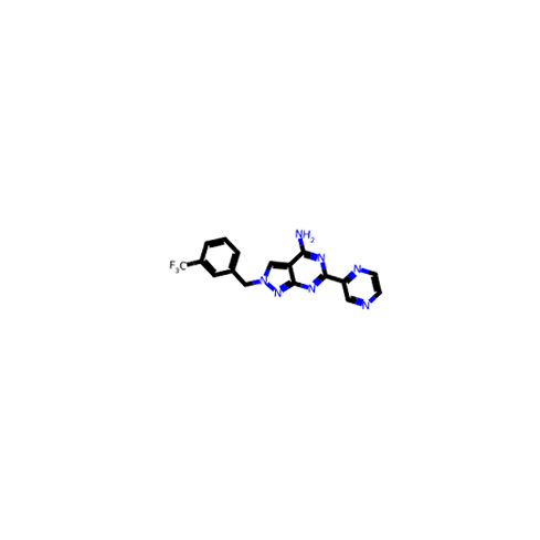 Nc1nc(-c2cnccn2)nc2nn(Cc3cccc(C(F)(F)F)c3)cc12